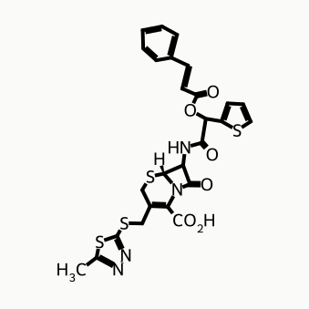 Cc1nnc(SCC2=C(C(=O)O)N3C(=O)C(NC(=O)C(OC(=O)/C=C/c4ccccc4)c4cccs4)[C@H]3SC2)s1